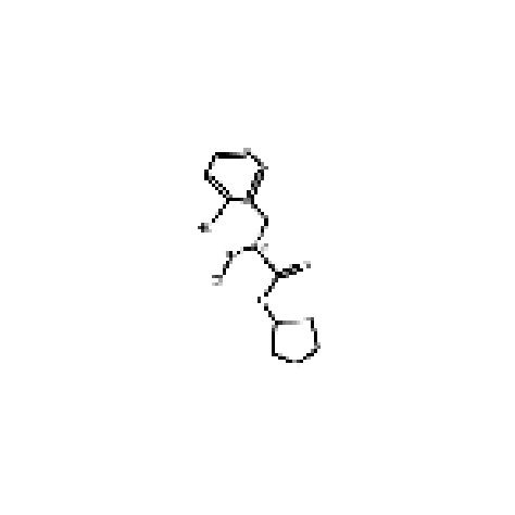 O=C(OC1CCCC1)[C@H](Cc1ccccc1S)NCl